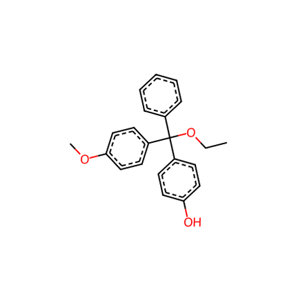 CCOC(c1ccccc1)(c1ccc(O)cc1)c1ccc(OC)cc1